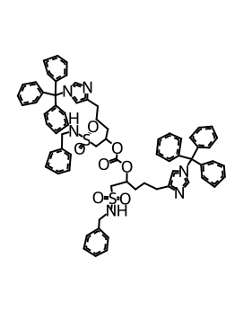 O=C(OC(CCCc1cn(C(c2ccccc2)(c2ccccc2)c2ccccc2)cn1)CS(=O)(=O)NCc1ccccc1)OC(CCCc1cn(C(c2ccccc2)(c2ccccc2)c2ccccc2)cn1)CS(=O)(=O)NCc1ccccc1